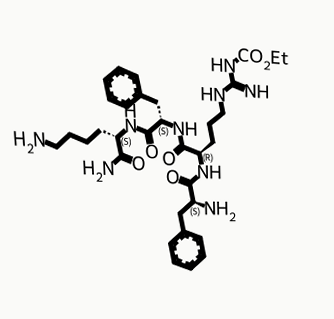 CCOC(=O)NC(=N)NCCC[C@@H](NC(=O)[C@@H](N)Cc1ccccc1)C(=O)N[C@@H](Cc1ccccc1)C(=O)N[C@@H](CCCCN)C(N)=O